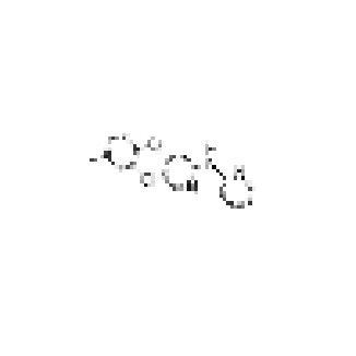 Cc1ccc(Oc2ccnc(Nc3ccccn3)c2)c(Cl)c1